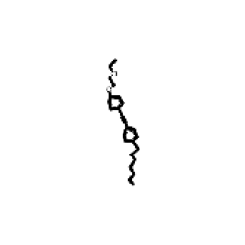 CCCCCCCc1ccc(C#Cc2ccc(OCCOCC)cc2)cc1